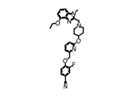 CCOc1cccc2c1nc(CN1CCC(Oc3cccc(COc4ccc(C#N)cc4F)n3)CC1)n2C